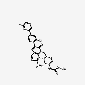 Cc1cncc(-c2ccc(-c3cc4cnc([S+](C)[O-])nc4n(CC4OCC(NC(=O)OC(C)(C)C)CO4)c3=O)c(Cl)c2)n1